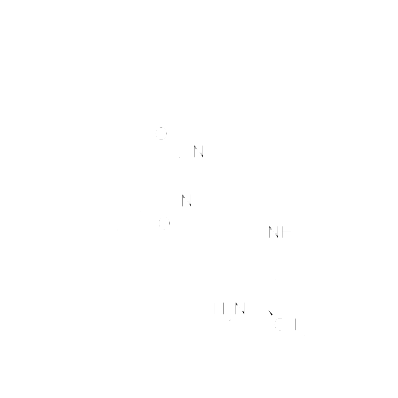 C[C@@H](N)CCNC1CCC(N(Cc2ccccc2)C(=O)c2cc(C3CC3)on2)CC1